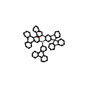 c1ccc2c(c1)-c1ccccc1C21c2ccccc2-c2cc(-c3ccc4ccccc4c3)c(N(c3ccc4c5ccccc5c5ccccc5c4c3)c3ccc4c5ccccc5c5ccccc5c4c3)cc21